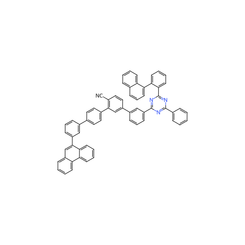 N#Cc1ccc(-c2cccc(-c3nc(-c4ccccc4)nc(-c4ccccc4-c4cccc5ccccc45)n3)c2)cc1-c1ccc(-c2cccc(-c3cc4ccccc4c4ccccc34)c2)cc1